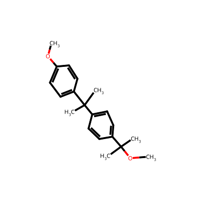 COc1ccc(C(C)(C)c2ccc(C(C)(C)OC)cc2)cc1